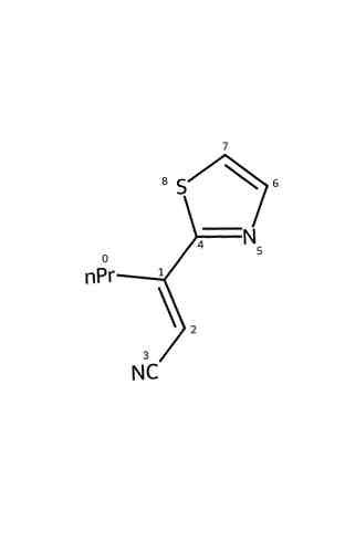 CCCC(=CC#N)c1nccs1